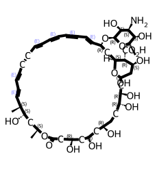 C[C@H]1C[C@H](O)[C@@H](C)/C=C/C=C/CC/C=C/C=C/C=C/C=C/[C@H](O[C@@H]2O[C@H](C)[C@@H](O)[C@H](N)[C@@H]2O)C[C@@H]2O[C@](O)(C[C@@H](O)[C@H](O)CC[C@@H](O)C[C@@H](O)C[C@@H](O)CC(=O)O1)C[C@H](O)[C@H]2C(=O)O